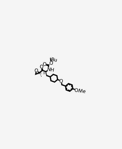 COc1ccc(COC2CCC(C[C@H](NC(=O)OC(C)(C)C)C(=O)[C@@]3(C)CO3)CC2)cc1